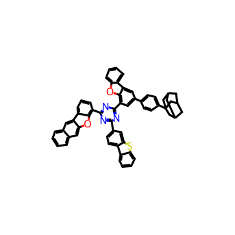 c1ccc2cc3c(cc2c1)oc1c(-c2nc(-c4ccc5c(c4)sc4ccccc45)nc(-c4cc(-c5ccc(C67CC8CC(CC(C8)C6)C7)cc5)cc5c4oc4ccccc45)n2)cccc13